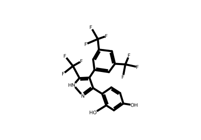 Oc1ccc(-c2n[nH]c(C(F)(F)F)c2-c2cc(C(F)(F)F)cc(C(F)(F)F)c2)c(O)c1